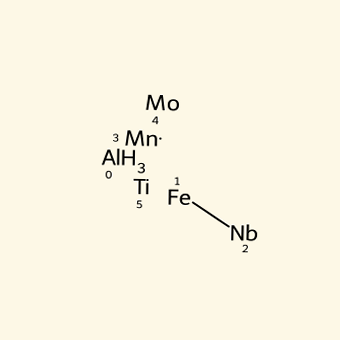 [AlH3].[Fe][Nb].[Mn].[Mo].[Ti]